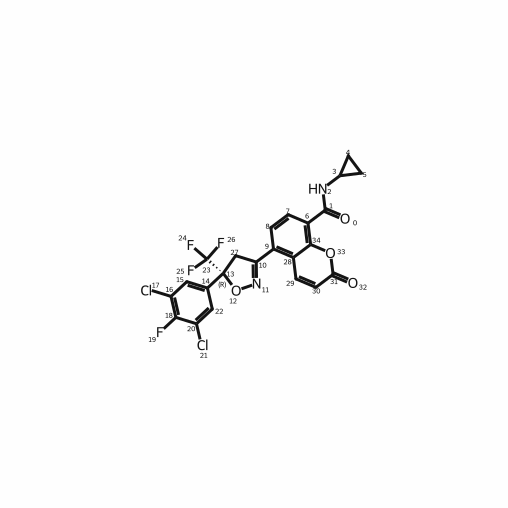 O=C(NC1CC1)c1ccc(C2=NO[C@](c3cc(Cl)c(F)c(Cl)c3)(C(F)(F)F)C2)c2ccc(=O)oc12